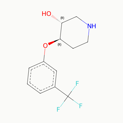 O[C@@H]1CNCC[C@H]1Oc1cccc(C(F)(F)F)c1